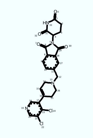 O=C1CCC(N2C(=O)c3ccc(CN4CC=C(c5cncc(Cl)c5Cl)CC4)cc3C2=O)C(=O)N1